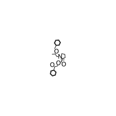 CC(CN1CCC[C@H]1C(=O)OCC(=O)c1ccccc1)OCc1ccccc1